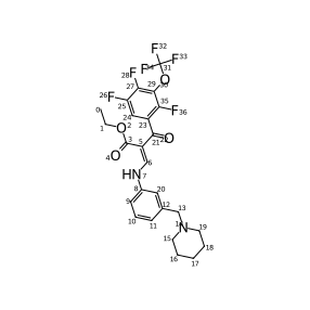 CCOC(=O)C(=CNc1cccc(CN2CCCCC2)c1)C(=O)c1cc(F)c(F)c(OC(F)(F)F)c1F